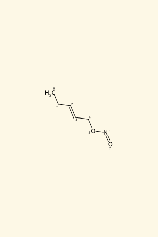 CC/C=C/CON=O